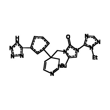 CCCCc1cn(-c2ncnn2CC)c(=O)n1CC1(c2cccc(-c3nnn[nH]3)c2)C=CN=CC1